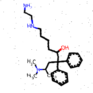 CC(CC(c1ccccc1)(c1ccccc1)C(O)CCCCNCCN)N(C)C